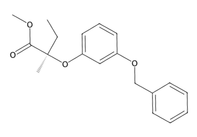 CC[C@@](C)(Oc1cccc(OCc2ccccc2)c1)C(=O)OC